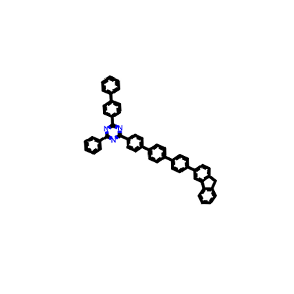 c1ccc(-c2ccc(-c3nc(-c4ccccc4)nc(-c4ccc(-c5ccc(-c6ccc(-c7ccc8c(c7)-c7ccccc7C8)cc6)cc5)cc4)n3)cc2)cc1